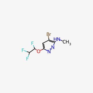 CNc1nnc(OC(F)C(F)F)cc1Br